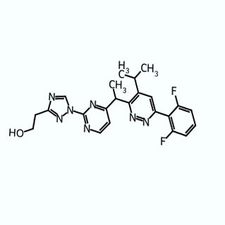 CC(C)c1cc(-c2c(F)cccc2F)nnc1C(C)c1ccnc(-n2cnc(CCO)n2)n1